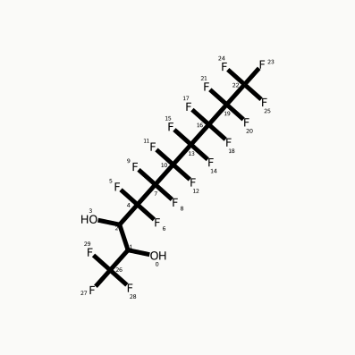 OC(C(O)C(F)(F)C(F)(F)C(F)(F)C(F)(F)C(F)(F)C(F)(F)C(F)(F)F)C(F)(F)F